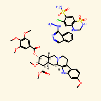 COC(=O)[C@H]1[C@H]2C[C@@H]3c4[nH]c5cc(OC)ccc5c4CCN3C[C@H]2C[C@@H](OC(=O)c2cc(OC)c(OC)c(OC)c2)[C@@H]1OC.NNc1nncc2ccccc12.NS(=O)(=O)c1cc2c(cc1Cl)NCNS2(=O)=O